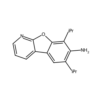 CC(C)c1cc2c(oc3ncccc32)c(C(C)C)c1N